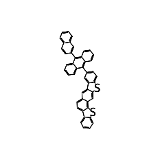 c1ccc2cc(-c3c4ccccc4c(-c4ccc5sc6cc7c(ccc8c9ccccc9sc78)cc6c5c4)c4ccccc34)ccc2c1